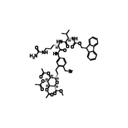 COC(=O)[C@H]1O[C@@H](CCc2cc(NC(=O)[C@H](CCCNC(N)=O)NC(=O)[C@@H](NC(=O)OCC3c4ccccc4-c4ccccc43)C(C)C)ccc2CBr)[C@H](OC(C)=O)[C@@H](OC(C)=O)[C@@H]1OC(C)=O